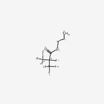 CCCOC(=O)C(F)(C(F)(F)F)C(F)(F)F